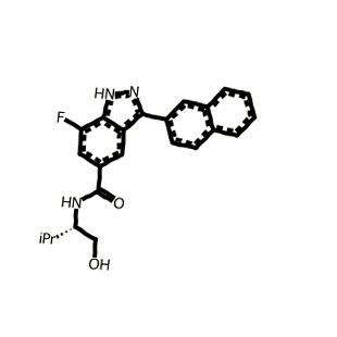 CC(C)[C@@H](CO)NC(=O)c1cc(F)c2[nH]nc(-c3ccc4ccccc4c3)c2c1